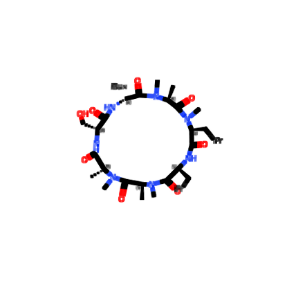 CC[C@H](C)[C@H]1NC(=O)[C@@H](CO)NC(=O)[C@@H](C)N(C)C(=O)[C@H](C)N(C)C(=O)[C@H](CC(C)C)NC(=O)[C@H](CC(C)C)N(C)C(=O)[C@H](C)N(C)C1=O